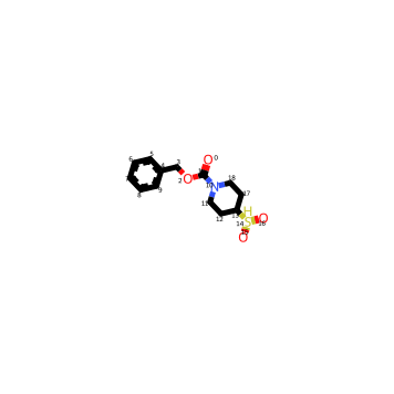 O=C(OCc1ccccc1)N1CCC([SH](=O)=O)CC1